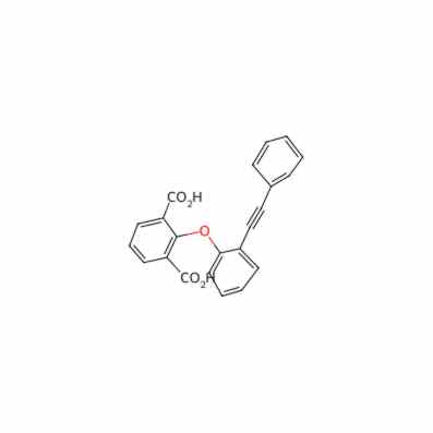 O=C(O)c1cccc(C(=O)O)c1Oc1ccccc1C#Cc1ccccc1